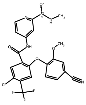 CN[S@+]([O-])c1cc(NC(=O)c2cc(Cl)c(C(F)(F)F)cc2Oc2ccc(C#N)cc2OC)ccn1